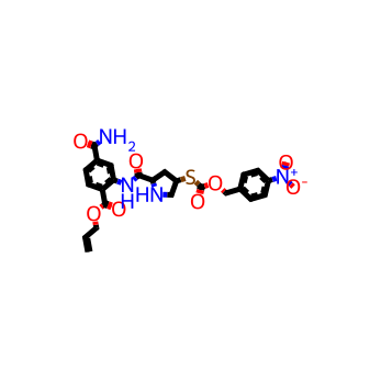 C=CCOC(=O)c1ccc(C(N)=O)cc1NC(=O)C1CC(SC(=O)OCc2ccc([N+](=O)[O-])cc2)CN1